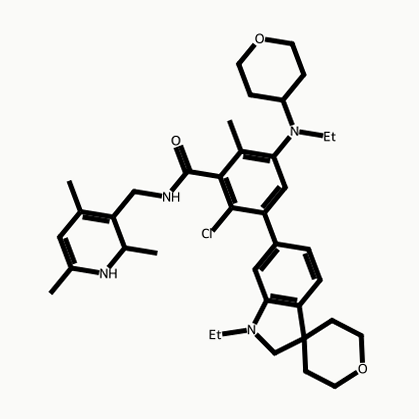 CCN1CC2(CCOCC2)c2ccc(-c3cc(N(CC)C4CCOCC4)c(C)c(C(=O)NCC4=C(C)C=C(C)NC4C)c3Cl)cc21